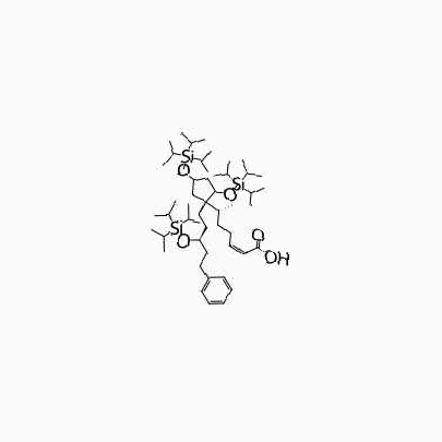 CC(C)[Si](OC1CC(O[Si](C(C)C)(C(C)C)C(C)C)C(CC[C@@H](CCc2ccccc2)O[Si](C(C)C)(C(C)C)C(C)C)([C@H](C)CC/C=C\C(=O)O)C1)(C(C)C)C(C)C